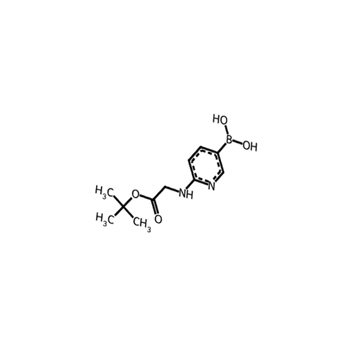 CC(C)(C)OC(=O)CNc1ccc(B(O)O)cn1